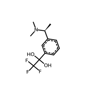 C[C@@H](c1cccc(C(O)(O)C(F)(F)F)c1)N(C)C